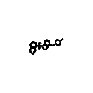 CN1CCN(Cc2cccc3c2ccn3S(=O)(=O)c2cccc3ccccc23)CC1